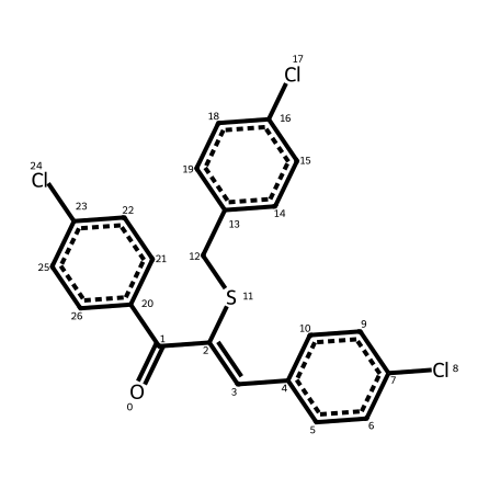 O=C(C(=Cc1ccc(Cl)cc1)SCc1ccc(Cl)cc1)c1ccc(Cl)cc1